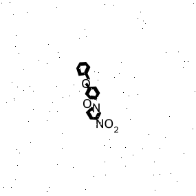 O=[N+]([O-])c1ccc(Oc2cccc(OCc3ccccc3)c2)nc1